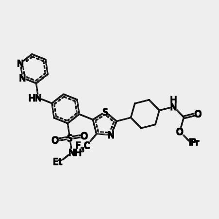 CCNS(=O)(=O)c1cc(Nc2cccnn2)ccc1-c1sc(C2CCC(NC(=O)OC(C)C)CC2)nc1C(F)(F)F